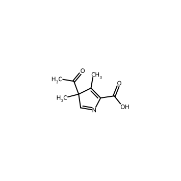 CC(=O)C1(C)C=NC(C(=O)O)=C1C